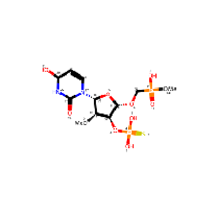 CO[C@@H]1[C@H](OP(O)(O)=S)[C@@H](OCP(=O)(O)OC)O[C@H]1N1C=CC(O)NC1=O